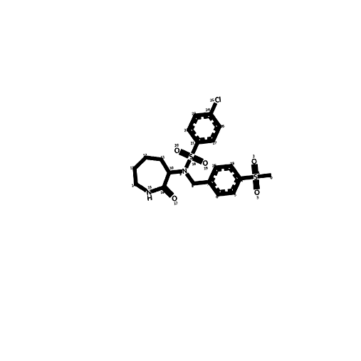 CS(=O)(=O)c1ccc(CN(C2CCCCNC2=O)S(=O)(=O)c2ccc(Cl)cc2)cc1